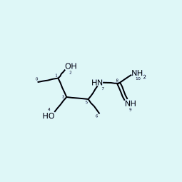 CC(O)C(O)C(C)NC(=N)N